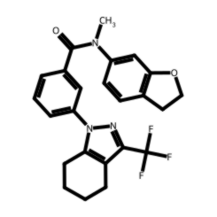 CN(C(=O)c1cccc(-n2nc(C(F)(F)F)c3c2CCCC3)c1)c1ccc2c(c1)OCC2